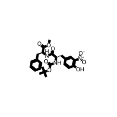 COC(=O)[C@H](Cc1ccccc1)NC(=O)[C@H](Cc1ccc(O)c([N+](=O)[O-])c1)NC(=O)OC(C)(C)C